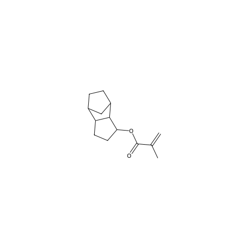 C=C(C)C(=O)OC1CCC2C3CCC(C3)C12